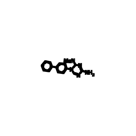 CNC1N=C(N)N=CN1c1ccc(-c2ccccc2)cc1